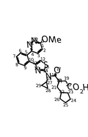 COc1ccc(-c2ccccc2-c2csc(N(C(=O)[C@@H](CC(=O)O)CC3CCCC3)C3CC3)n2)nn1